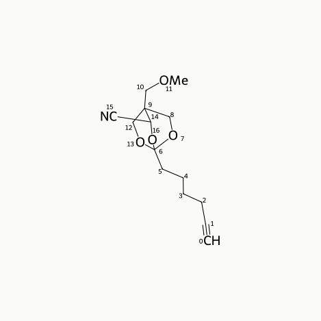 C#CCCCCC12OCC(COC)(CO1)C(C#N)O2